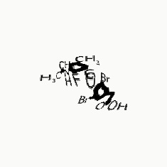 Cc1cc(COc2c(Br)cc(CC(=O)O)cc2Br)c(F)c(NC(C)C)c1